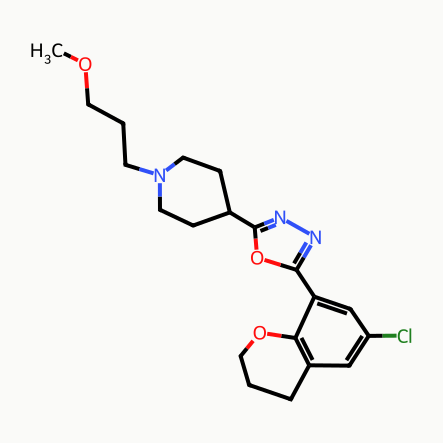 COCCCN1CCC(c2nnc(-c3cc(Cl)cc4c3OCCC4)o2)CC1